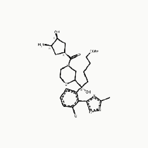 COCCCC[C@@](O)(c1cccc(Cl)c1-c1nc(C)no1)C1CN(C(=O)[C@H]2C[C@@H](N)[C@@H](O)C2)CCO1